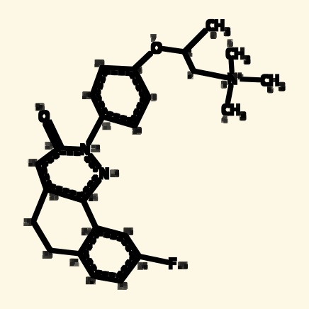 CC(C[N+](C)(C)C)Oc1ccc(-n2nc3c(cc2=O)CCc2ccc(F)cc2-3)cc1